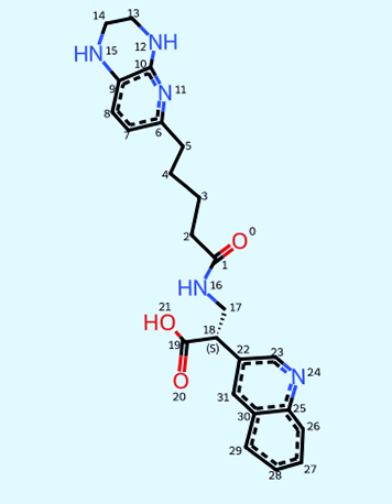 O=C(CCCCc1ccc2c(n1)NCCN2)NC[C@@H](C(=O)O)c1cnc2ccccc2c1